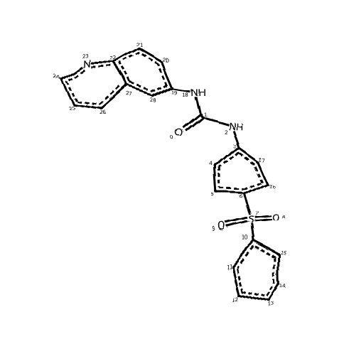 O=C(Nc1ccc(S(=O)(=O)c2ccccc2)cc1)Nc1ccc2ncccc2c1